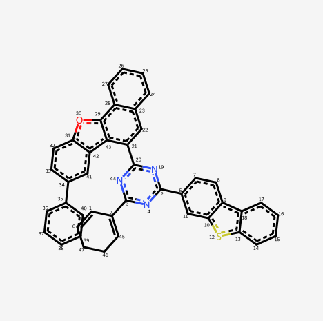 C1=CC(c2nc(-c3ccc4c(c3)sc3ccccc34)nc(-c3cc4ccccc4c4oc5ccc(-c6ccccc6)cc5c34)n2)=CCC1